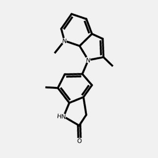 CC1=CC2=CC=CN(C)C2N1c1cc(C)c2c(c1)CC(=O)N2